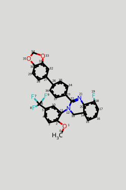 COc1ccc(C(F)(F)F)cc1N1[C]c2cccc(F)c2N=C1c1ccc(-c2ccc3c(c2)OCO3)cc1